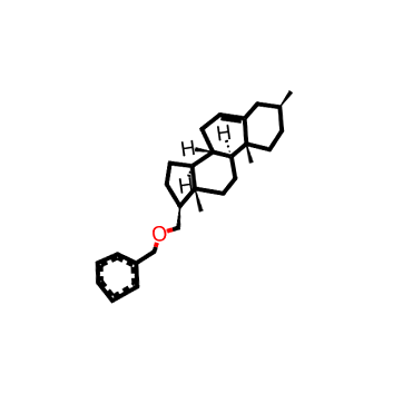 C[C@H]1CC[C@@]2(C)C(=CC[C@H]3[C@@H]4CC[C@H](COCc5ccccc5)[C@@]4(C)CC[C@@H]32)C1